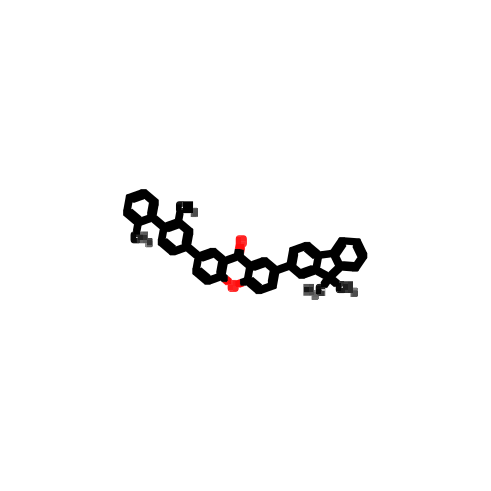 Cc1ccccc1-c1ccc(-c2ccc3oc4ccc(-c5ccc6c(c5)C(C)(C)c5ccccc5-6)cc4c(=O)c3c2)cc1C